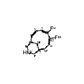 FC1=CC=CC2CNCC(CC=C1F)C2